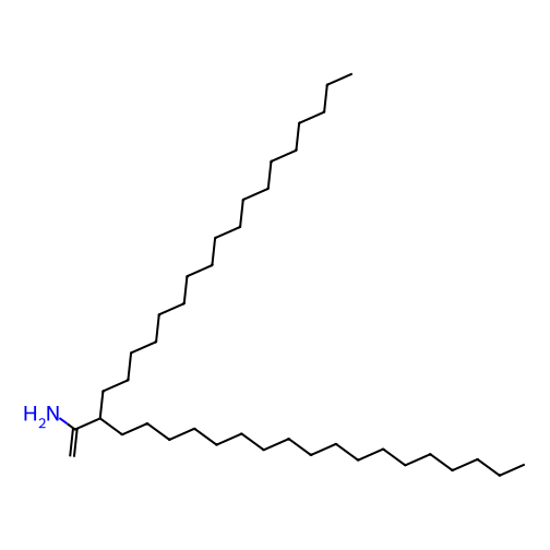 C=C(N)C(CCCCCCCCCCCCCCCCCC)CCCCCCCCCCCCCCCCCC